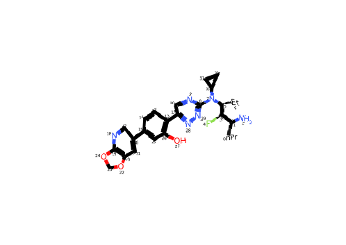 CCCC(N)[C@@H](F)[C@H](CC)N(c1ncc(-c2ccc(-c3cnc4c(c3)OCO4)cc2O)nn1)C1CC1